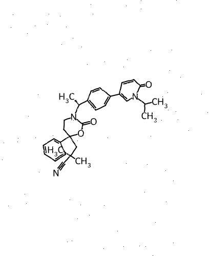 CC(C)n1cc(-c2ccc([C@H](C)N3CCC(CC(C)(C)C#N)(c4ccccc4)OC3=O)cc2)ccc1=O